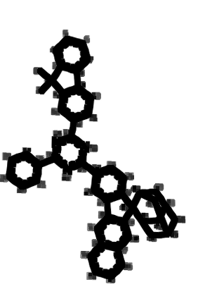 CC1(C)c2ccccc2-c2ccc(-c3nc(-c4ccccc4)nc(-c4ccc5c(c4)-c4cc6ccccc6cc4C54C5CC6CC(C5)CC4C6)n3)cc21